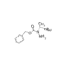 CCCCC(C)N(N)C(=O)OCc1ccccc1